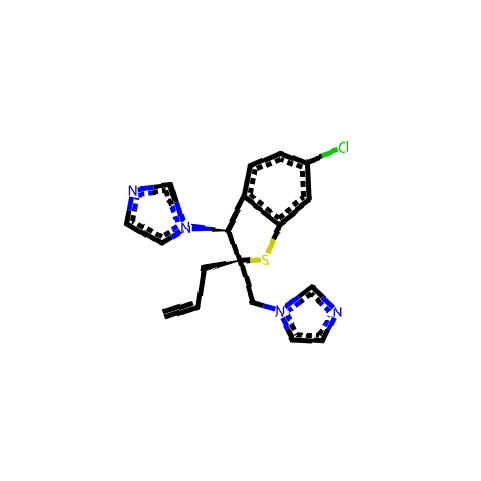 C=CC[C@]1(Cn2ccnc2)Sc2cc(Cl)ccc2[C@@H]1n1ccnc1